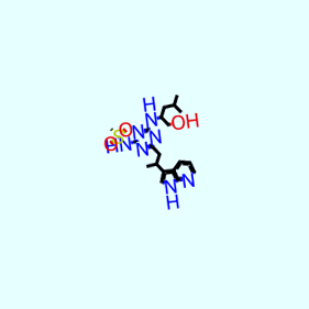 CC(C)CC(CO)Nc1nc(CC(C)c2c[nH]c3ncccc23)nc(NS(C)(=O)=O)n1